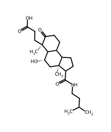 CC(C)CCNC(=O)C1CCC2C3CCC(=O)[C@](C)(CCC(=O)O)C3[C@@H](O)C[C@]12C